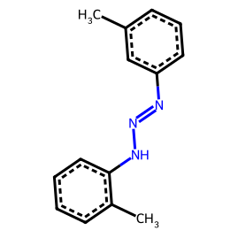 Cc1cccc(N=NNc2ccccc2C)c1